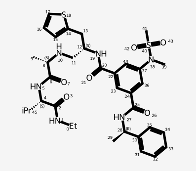 CCNC(=O)[C@@H](NC(=O)[C@H](C)NC[C@H](Cc1cccs1)NC(=O)c1cc(C(=O)N[C@H](C)c2ccccc2)cc(N(C)S(C)(=O)=O)c1)C(C)C